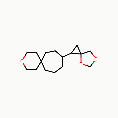 C1CC(C2CC23COCO3)CCC2(C1)CCOCC2